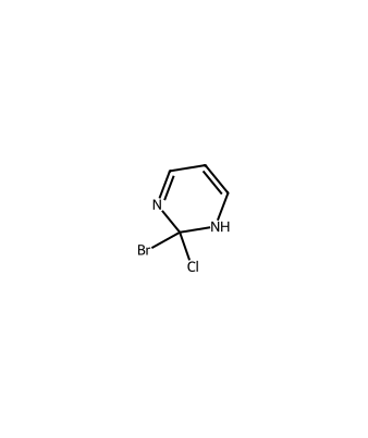 ClC1(Br)N=CC=CN1